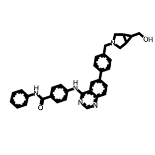 O=C(Nc1ccccc1)c1ccc(Nc2ncnc3ccc(-c4ccc(CN5CC6C(CO)C6C5)cc4)cc23)cc1